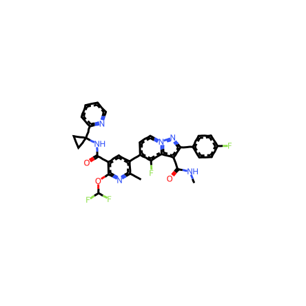 CNC(=O)c1c(-c2ccc(F)cc2)nn2ccc(-c3cc(C(=O)NC4(c5ccccn5)CC4)c(OC(F)F)nc3C)c(F)c12